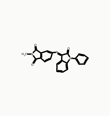 CN1C(=O)c2ccc(/N=C3/C(=O)N(c4ccccc4)c4ccccc43)cc2C1=O